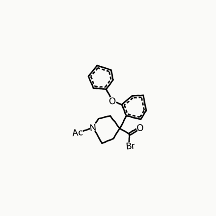 CC(=O)N1CCC(C(=O)Br)(c2ccccc2Oc2ccccc2)CC1